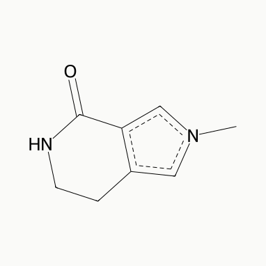 Cn1cc2c(c1)C(=O)NCC2